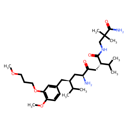 COCCCOc1cc(C[C@@H](C[C@H](N)C(=O)C[C@H](C(=O)NCC(C)(C)C(N)=O)C(C)C)C(C)C)ccc1OC